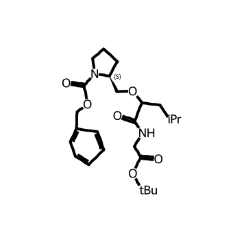 CC(C)CC(OC[C@@H]1CCCN1C(=O)OCc1ccccc1)C(=O)NCC(=O)OC(C)(C)C